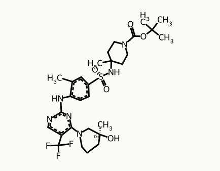 Cc1cc(S(=O)(=O)NC2(C)CCN(C(=O)OC(C)(C)C)CC2)ccc1Nc1ncc(C(F)(F)F)c(N2CCC[C@](C)(O)C2)n1